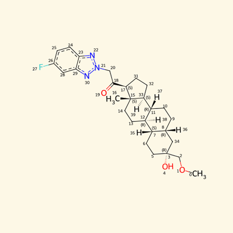 COC[C@@]1(O)CC[C@H]2[C@H](CC[C@@H]3[C@@H]2CC[C@]2(C)[C@@H](C(=O)Cn4nc5ccc(F)cc5n4)CC[C@@H]32)C1